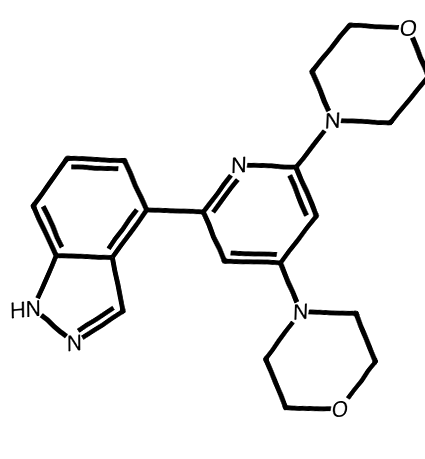 c1cc(-c2cc(N3CCOCC3)cc(N3CCOCC3)n2)c2cn[nH]c2c1